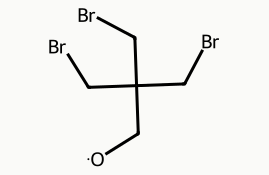 [O]CC(CBr)(CBr)CBr